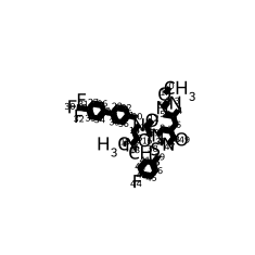 COc1ncc(Cc2cn(CC(=O)N(CC(=O)N(C)C)Cc3ccc(-c4ccc(C(F)(F)F)cc4)cc3)c(SCc3ccc(F)cc3)nc2=O)cn1